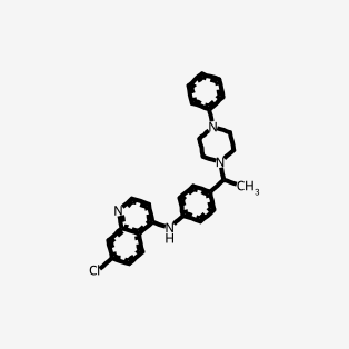 CC(c1ccc(Nc2ccnc3cc(Cl)ccc23)cc1)N1CCN(c2ccccc2)CC1